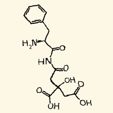 N[C@@H](Cc1ccccc1)C(=O)NC(=O)CC(O)(CC(=O)O)C(=O)O